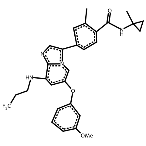 COc1cccc(Oc2cc(NCCC(F)(F)F)c3ncc(-c4ccc(C(=O)NC5(C)CC5)c(C)c4)n3c2)c1